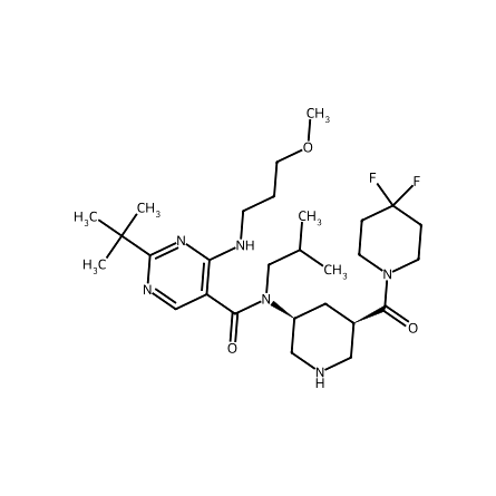 COCCCNc1nc(C(C)(C)C)ncc1C(=O)N(CC(C)C)[C@@H]1CNC[C@H](C(=O)N2CCC(F)(F)CC2)C1